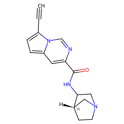 C#Cc1ccc2cc(C(=O)NC3CN4CC[C@H]3C4)ncn12